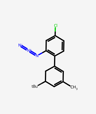 CC1=CC(C(C)(C)C)CC(c2ccc(Cl)cc2N=[N+]=[N-])=C1